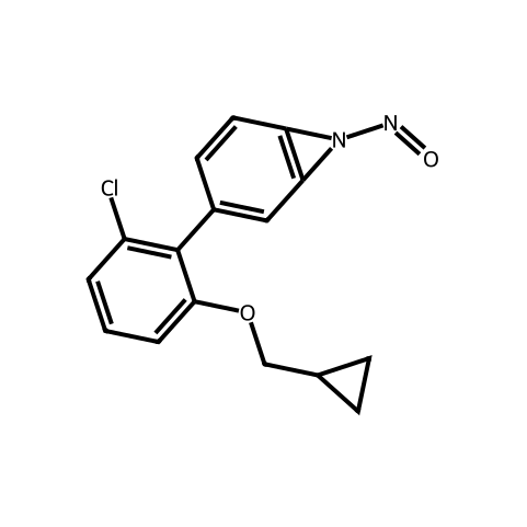 O=NN1c2ccc(-c3c(Cl)cccc3OCC3CC3)cc21